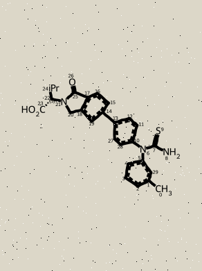 Cc1cccc(N(C(N)=S)c2ccc(-c3ccc4c(c3)CN([C@H](C(=O)O)C(C)C)C4=O)cc2)c1